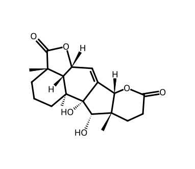 C[C@]12CCC(=O)O[C@H]1C1=C[C@H]3OC(=O)[C@@]4(C)CCC[C@@](C)([C@@H]34)[C@]1(O)[C@H]2O